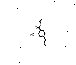 CCCN1CCC(C(=O)OCC)CC1.Cl